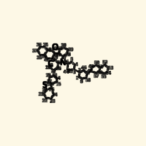 c1cc(-c2ccc(N(c3cccc(-c4ccc5c(c4)sc4ccccc45)c3)c3cccc4oc5c6ccccc6ccc5c34)cc2)cc(-c2ccc3ccccc3c2)c1